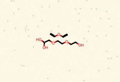 C=COC=C.OCCOCCOCC(O)O